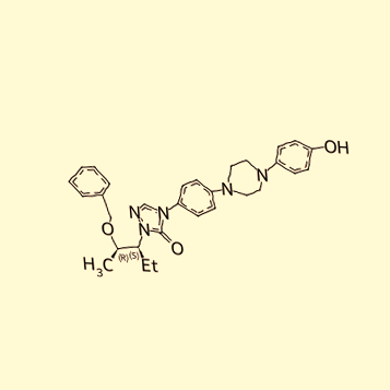 CC[C@@H]([C@@H](C)OCc1ccccc1)n1ncn(-c2ccc(N3CCN(c4ccc(O)cc4)CC3)cc2)c1=O